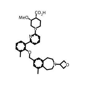 CO[C@@H]1CN(c2cccc(-c3cccc(C)c3OCc3cc(C)c4c(c3)CCN(C3COC3)CC4)n2)CC[C@@H]1C(=O)O